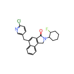 O=C1c2cc(Cc3ccc(Cl)nc3)c3ccccc3c2CN1C1CCCC[C@@H]1F